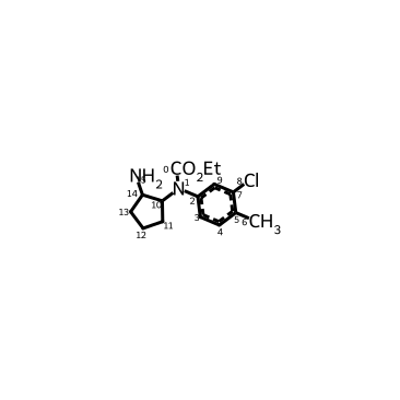 CCOC(=O)N(c1ccc(C)c(Cl)c1)C1CCCC1N